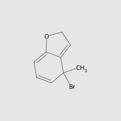 CC1(Br)C=CC=C2OCC=C21